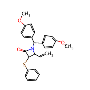 C=CC1C(Sc2ccccc2)C(=O)N1C(c1ccc(OC)cc1)c1ccc(OC)cc1